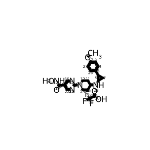 COc1ccc(C2CC2NC2CCN(c3ncc(C(=O)NO)cn3)CC2)cc1.O=C(O)C(F)(F)F